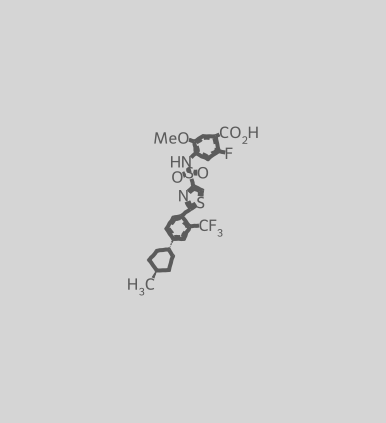 COc1cc(C(=O)O)c(F)cc1NS(=O)(=O)c1csc(-c2ccc([C@H]3CC[C@H](C)CC3)cc2C(F)(F)F)n1